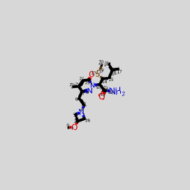 COC1CN(CCc2nn(C(C(N)=O)C(CC(C)C)SC)c(=O)cc2C)C1